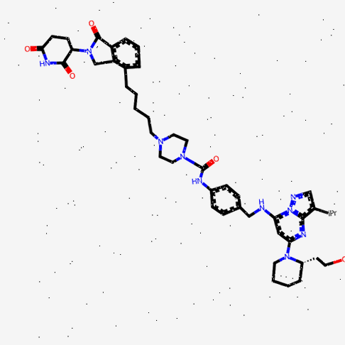 CC(C)c1cnn2c(NCc3ccc(NC(=O)N4CCN(CCCCCc5cccc6c5CN(C5CCC(=O)NC5=O)C6=O)CC4)cc3)cc(N3CCCC[C@H]3CCO)nc12